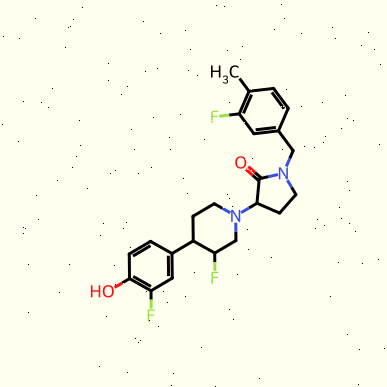 Cc1ccc(CN2CCC(N3CCC(c4ccc(O)c(F)c4)C(F)C3)C2=O)cc1F